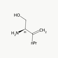 C=C(CCC)[C@@H](N)CO